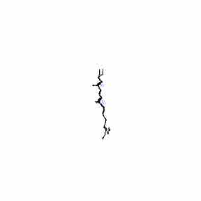 [Li][CH2]/C=C(\C)CC/C=C(\C)CCCCN(C)C